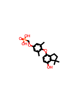 Cc1cc(OCP(=O)(O)O)cc(C)c1Oc1ccc(O)c2c1CCC2(C)C